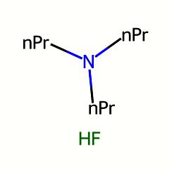 CCCN(CCC)CCC.F